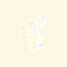 O=C(O)C(C(=O)C1CCCNC1)N(c1ccncc1)C1CC1